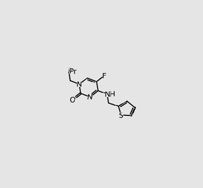 CC(C)Cn1cc(F)c(NCc2cccs2)nc1=O